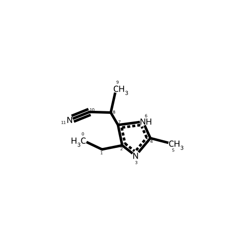 CCc1nc(C)[nH]c1C(C)C#N